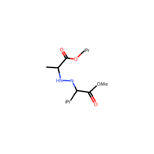 COC(=O)C([N]NC(C)C(=O)OC(C)C)C(C)C